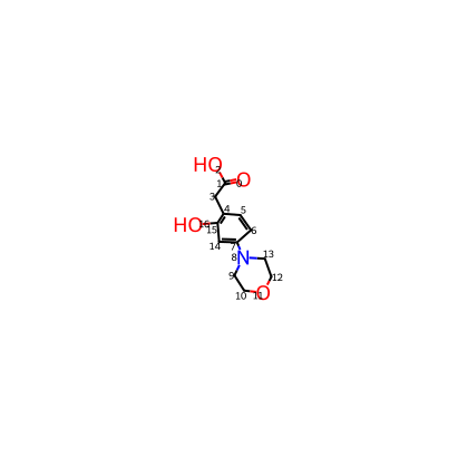 O=C(O)Cc1ccc(N2CCOCC2)cc1O